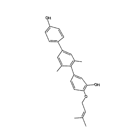 CC(C)=CCOc1ccc(-c2c(C)cc(-c3ccc(O)cc3)cc2C)cc1O